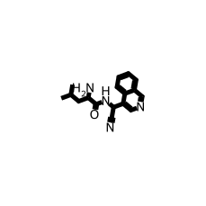 CC(C)CC(N)C(=O)NC(C#N)c1cncc2ccccc12